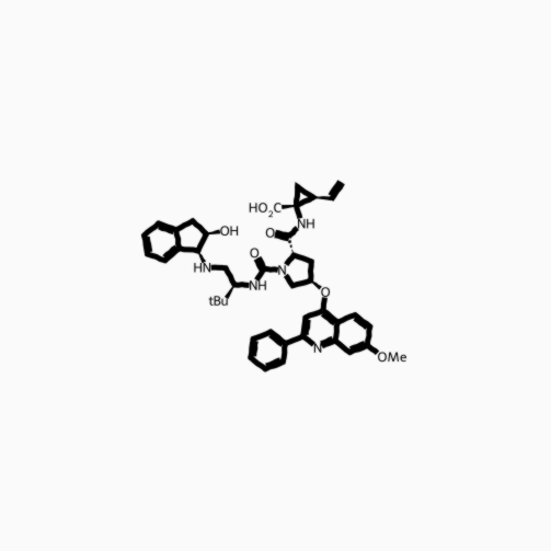 C=C[C@@H]1C[C@]1(NC(=O)[C@@H]1C[C@@H](Oc2cc(-c3ccccc3)nc3cc(OC)ccc23)CN1C(=O)N[C@H](CN[C@H]1c2ccccc2C[C@H]1O)C(C)(C)C)C(=O)O